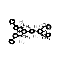 CC1(C)c2ccccc2N2c3ccccc3C(C)(C)c3cc(-c4ccc(-c5cc6c7c(c5)C(C)(C)c5cc(-c8ccccc8)ccc5N7c5ccc(-c7ccccc7)cc5C6(C)C)cc4)cc1c32